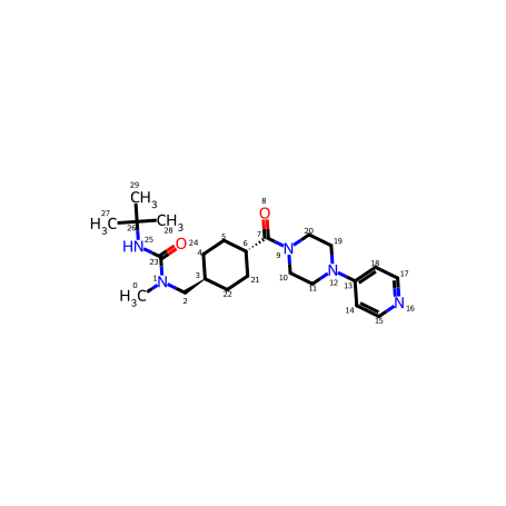 CN(C[C@H]1CC[C@H](C(=O)N2CCN(c3ccncc3)CC2)CC1)C(=O)NC(C)(C)C